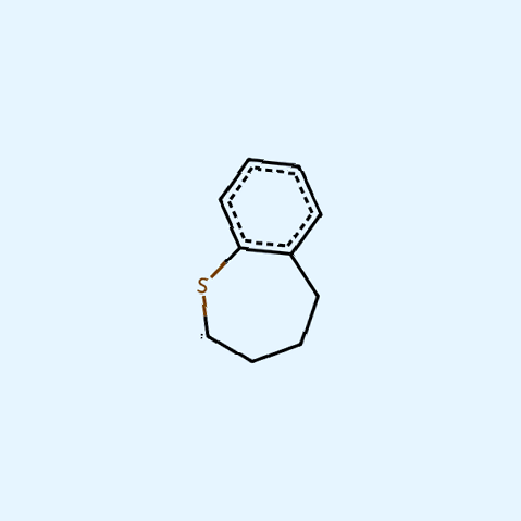 [C]1CCCc2ccccc2S1